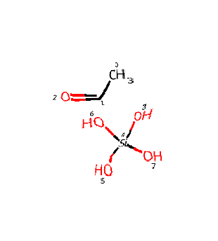 CC=O.O[Si](O)(O)O